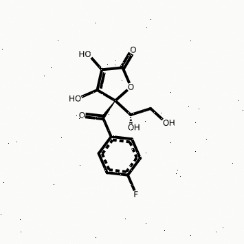 O=C1O[C@](C(=O)c2ccc(F)cc2)([C@@H](O)CO)C(O)=C1O